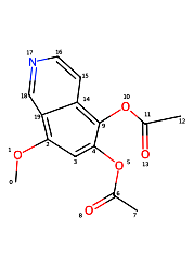 COc1cc(OC(C)=O)c(OC(C)=O)c2ccncc12